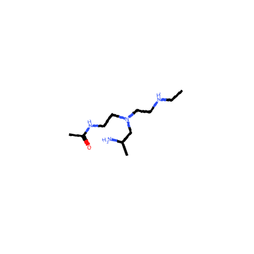 CCNCCN(CCNC(C)=O)CC(C)N